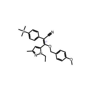 CCn1nc(C)cc1/C(OCc1ccc(OC)cc1)=C(/C#N)c1ccc([Si](C)(C)C)cc1